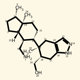 C[C@H]1CC[C@H]2[C@H](CN)[C@@H]([C@@]3(C)Cc4cn[nH]c4C[C@@H]3CO)CC[C@]12C